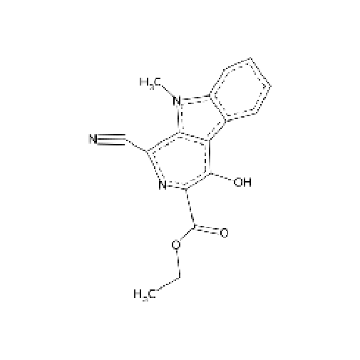 CCOC(=O)c1nc(C#N)c2c(c1O)c1ccccc1n2C